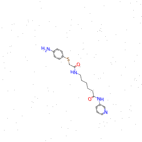 Nc1ccc(SCC(=O)NCCCCCC(=O)Nc2cccnc2)cc1